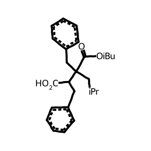 CC(C)COC(=O)C(Cc1ccccc1)(CC(C)C)C(Cc1ccccc1)C(=O)O